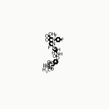 CP(=O)(O)C(Cc1ccc(OC(=O)N[C@H]2[C@@H]3CN(c4nc5c(cc4F)c(=O)c(C(=O)O)cn5-c4ccc(F)cc4F)C[C@@H]32)cc1)P(=O)(O)O